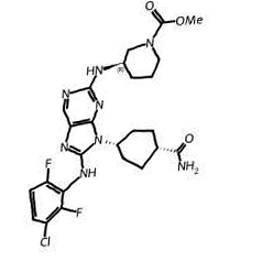 COC(=O)N1CCC[C@@H](Nc2ncc3nc(Nc4c(F)ccc(Cl)c4F)n([C@H]4CC[C@@H](C(N)=O)CC4)c3n2)C1